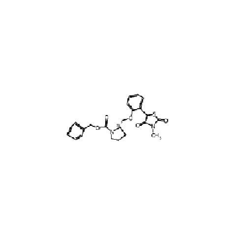 CN1C(=O)SC(c2ccccc2OC[C@@H]2CCCN2C(=O)OCc2ccccc2)C1=O